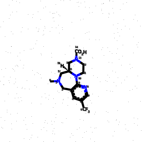 CN1Cc2cc(C(F)(F)F)cnc2N2CCN(C(=O)O)C[C@@H]2C1